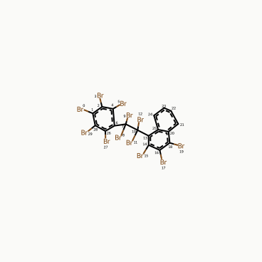 Brc1c(Br)c(Br)c(C(Br)(Br)C(Br)(Br)c2c(Br)c(Br)c(Br)c3ccccc23)c(Br)c1Br